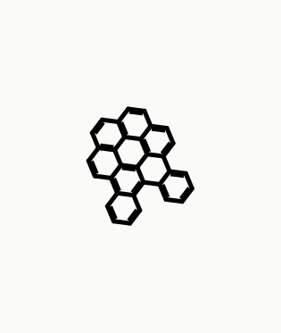 c1ccc2c(c1)c1ccc3ccc4ccc5ccc6c7ccccc7c2c2c1c3c4c5c62